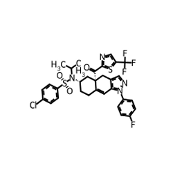 CC(C)N([C@H]1CCC2=Cc3c(cnn3-c3ccc(F)cc3)C[C@]2(C(=O)c2ncc(C(F)(F)F)s2)C1)S(=O)(=O)c1ccc(Cl)cc1